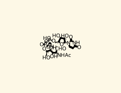 CC(=O)N[C@@H](C=O)[C@@H](O)[C@H](O)[C@@H](CO)OP(=O)(O)OP(=O)(O)OC[C@H]1O[C@@H](n2ccc(=O)[nH]c2=O)[C@H](O)[C@@H]1O